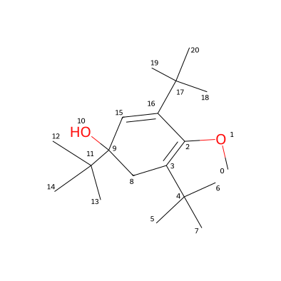 COC1=C(C(C)(C)C)CC(O)(C(C)(C)C)C=C1C(C)(C)C